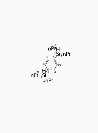 CCC[SiH](CCC)c1ccc([SiH](CCC)CCC)cc1